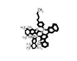 CCCCc1ccc(N2B3c4oc5cc6c(cc5c4N(c4cc5c(cc4C)C(C)(C)CCC5(C)C)c4c3c(cc3c4oc4ccccc43)-c3cc4ccccc4cc32)C(C)(C)CCC6(C)C)cc1